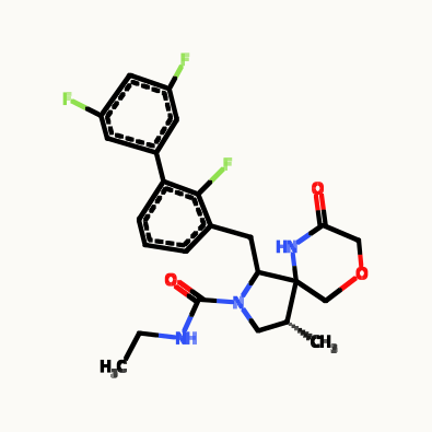 CCNC(=O)N1C[C@@H](C)C2(COCC(=O)N2)C1Cc1cccc(-c2cc(F)cc(F)c2)c1F